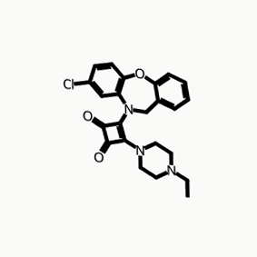 CCN1CCN(c2c(N3Cc4ccccc4Oc4ccc(Cl)cc43)c(=O)c2=O)CC1